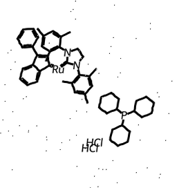 C1CCC(P(C2CCCCC2)C2CCCCC2)CC1.Cc1cc(C)c(N2CCN(c3c(C)cc(C)cc3C)[C]2=[Ru]=[C]2C=C(c3ccccc3)c3ccccc32)c(C)c1.Cl.Cl